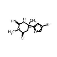 CN1C(=N)N[C@](C)(c2cc(Br)co2)CC1=O